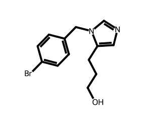 OCCCc1cncn1Cc1ccc(Br)cc1